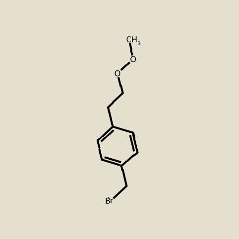 COOCCc1ccc(CBr)cc1